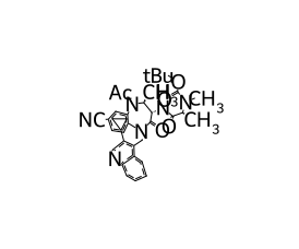 CC(=O)N1c2cc(C#N)ccc2N(Cc2c(C3CC3)cnc3ccccc23)C(=O)[C@@H](NC(=O)[C@H](C)N(C)C(=O)OC(C)(C)C)[C@@H]1C